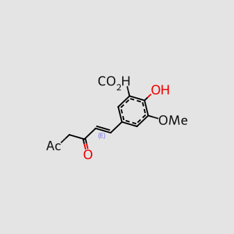 COc1cc(/C=C/C(=O)CC(C)=O)cc(C(=O)O)c1O